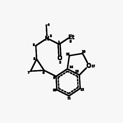 CCC(=O)N(C)CC1CC1c1cccc2c1CCO2